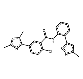 Cc1cc(-c2ccccc2NC(=O)c2cc(-n3nc(C)cc3C)ccc2Cl)on1